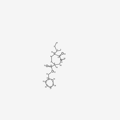 CCC(C)C1(C)CCC(C)(C(=O)OCc2ccccc2)CN(C)C1=O